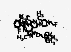 Cc1nn(COCC[Si](C)(C)C)c2c1N=C(c1c(F)cccc1F)Nc1c-2cc(N2CCN(CCF)CC2C)nc1C